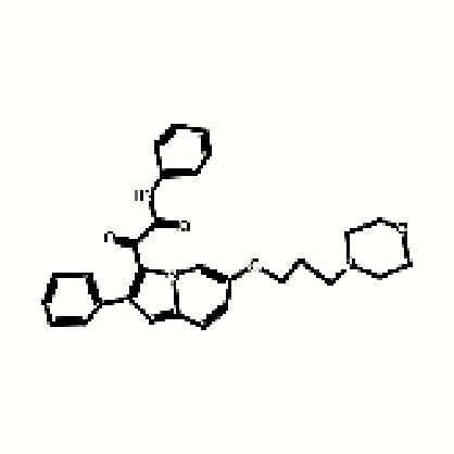 O=C(Nc1ccccc1)C(=O)c1c(-c2ccccc2)cc2ccc(OCCCN3CCOCC3)cn12